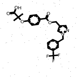 CC(C)(Oc1ccc(C(=O)OCc2cnn(Cc3cccc(C(F)(F)F)c3)c2)cc1)C(=O)O